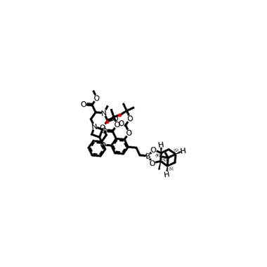 COC(=O)C(CN1CC(Oc2ccc(CCB3O[C@@H]4C[C@@H]5C[C@@H](C5(C)C)[C@]4(C)O3)c(OC(=O)OC(C)(C)C)c2C(=O)OC(C)(C)C)C1)N(C)C(=O)OCc1ccccc1